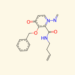 C=CCCNC(=O)c1c(OCc2ccccc2)c(=O)ccn1N=C